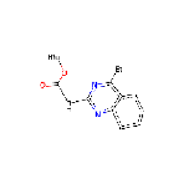 CCc1nc(BC(=O)OC(C)(C)C)nc2ccccc12